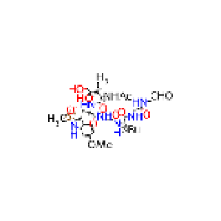 CC[C@H](C)[C@H](NC(=O)CNC(=O)[C@@H](Cc1c([S+](C)[O-])[nH]c2cc(OC)ccc12)NC(=O)[C@@H](NC(C)=O)[C@@H](C)[C@@H](O)CO)C(=O)NCC(=O)NCC=O